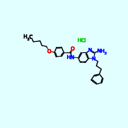 CCCCCOc1ccc(C(=O)Nc2ccc3c(c2)nc(N)n3CCCc2ccccc2)cc1.Cl